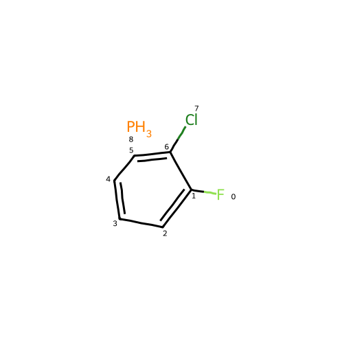 Fc1ccccc1Cl.P